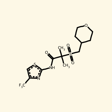 CC(C)(C(=O)Nc1nc(C(F)(F)F)cs1)S(=O)(=O)CC1CCOCC1